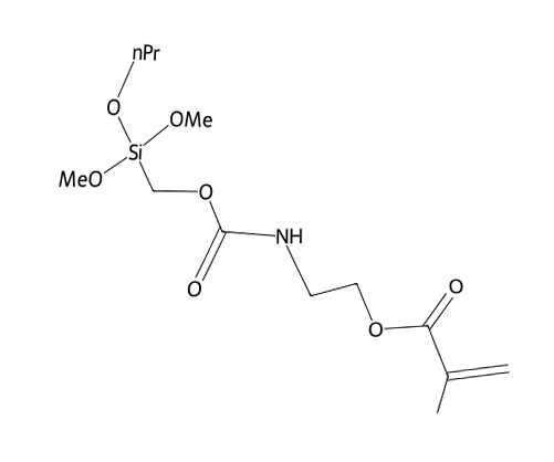 C=C(C)C(=O)OCCNC(=O)OC[Si](OC)(OC)OCCC